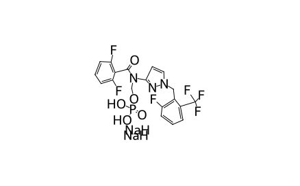 O=C(c1c(F)cccc1F)N(COP(=O)(O)O)c1ccn(Cc2c(F)cccc2C(F)(F)F)n1.[NaH].[NaH]